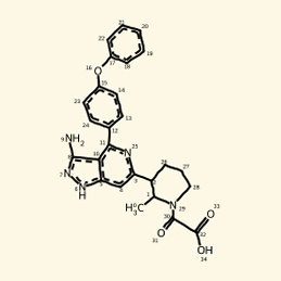 CC1C(c2cc3[nH]nc(N)c3c(-c3ccc(Oc4ccccc4)cc3)n2)CCCN1C(=O)C(=O)O